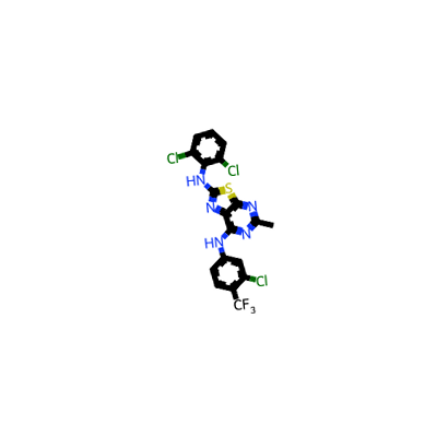 Cc1nc(Nc2ccc(C(F)(F)F)c(Cl)c2)c2nc(Nc3c(Cl)cccc3Cl)sc2n1